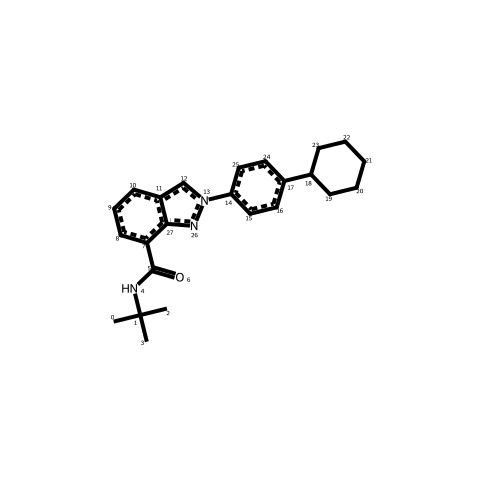 CC(C)(C)NC(=O)c1cccc2cn(-c3ccc(C4CCCCC4)cc3)nc12